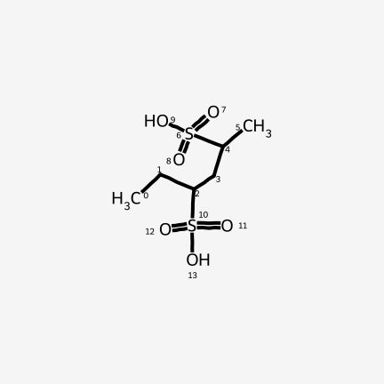 CCC(CC(C)S(=O)(=O)O)S(=O)(=O)O